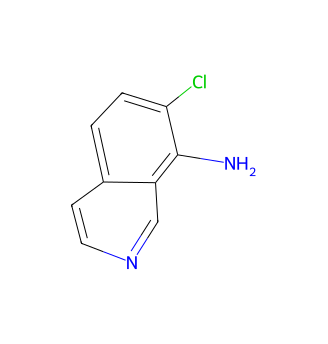 Nc1c(Cl)ccc2ccncc12